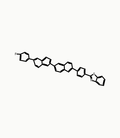 Fc1ccc(-c2ccc3cc(-c4ccc5cc(-c6ccc(-c7nc8ccccc8s7)cc6)ccc5c4)ccc3c2)cc1